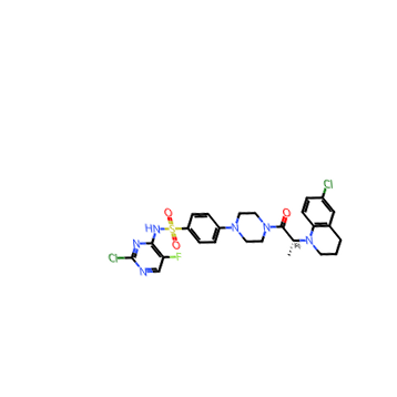 C[C@H](C(=O)N1CCN(c2ccc(S(=O)(=O)Nc3nc(Cl)ncc3F)cc2)CC1)N1CCCc2cc(Cl)ccc21